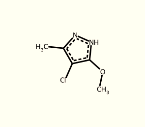 COc1[nH]nc(C)c1Cl